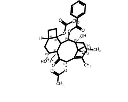 CC(=O)O[C@@H]1C(=O)[C@]2(C)C([C@@H](OC(=O)c3ccccc3)[C@@]3(O)C[C@@H](C)C(C)=C1C3(C)C)[C@@]1(OC(C)=O)CC[C@H]1C[C@H]2O